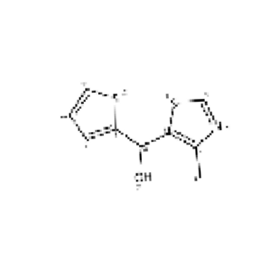 Cc1ncsc1C(O)c1cccs1